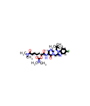 CN(C)C(=O)/C=C/CC[C@H](OC(=O)N(C)C)C(=O)Nc1cncn(Cc2nc3cc(F)ccc3n2CC(C)(C)C)c1=O